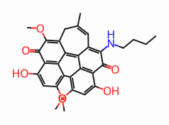 CCCCNc1c2c3c4c(c(OC)c(=O)c5c(O)cc(OC)c(c6c(OC)cc(O)c(c1=O)c63)c54)CC(C)=C2